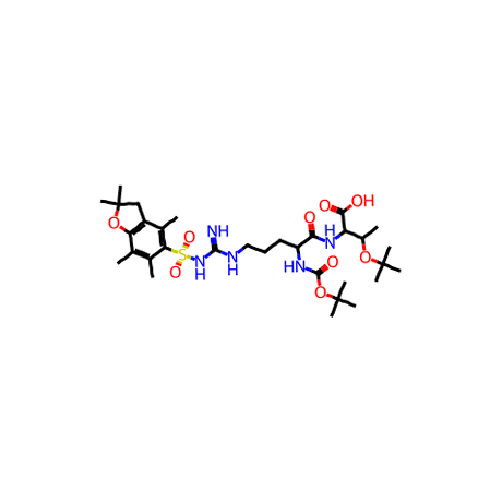 Cc1c(C)c(S(=O)(=O)NC(=N)NCCCC(NC(=O)OC(C)(C)C)C(=O)NC(C(=O)O)C(C)OC(C)(C)C)c(C)c2c1OC(C)(C)C2